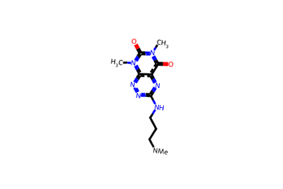 CNCCCNc1nnc2c(n1)c(=O)n(C)c(=O)n2C